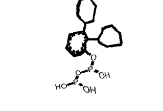 OP(O)OP(O)Oc1cccc(C2CCCCC2)c1C1CCCCC1